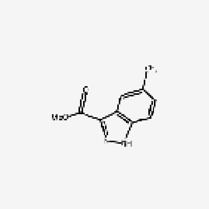 COC(=O)c1n[nH]c2ccc(C(F)(F)F)cc12